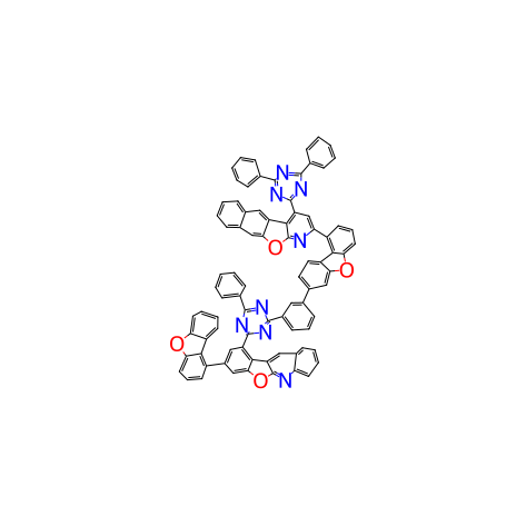 c1ccc(-c2nc(-c3cccc(-c4ccc5c(c4)oc4cccc(-c6cc(-c7nc(-c8ccccc8)nc(-c8ccccc8)n7)c7c(n6)oc6cc8ccccc8cc67)c45)c3)nc(-c3cc(-c4cccc5oc6ccccc6c45)cc4oc5nc6ccccc6cc5c34)n2)cc1